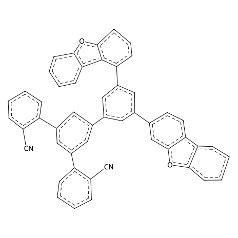 N#Cc1ccccc1-c1cc(-c2cc(-c3ccc4c(c3)oc3ccccc34)cc(-c3cccc4oc5ccccc5c34)c2)cc(-c2ccccc2C#N)c1